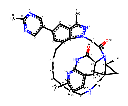 CC(=O)c1nn2c3c(cc(-c4cnc(C)nc4)cc13)CCCCCCCNC[C@@]13C[C@@H](C(=O)Nc4nc(C(F)(F)F)ccc4C)N(C(=O)C2)[C@@H]1C3